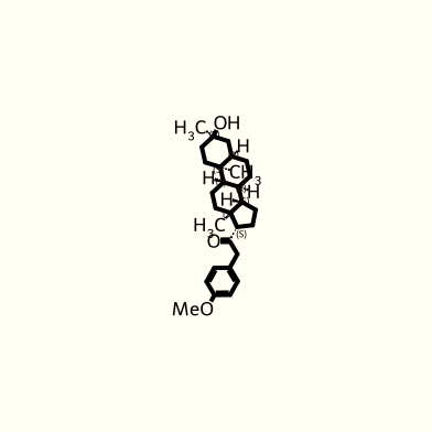 COc1ccc(CC(=O)[C@H]2CC[C@H]3[C@@H]4CC[C@@H]5C[C@](C)(O)CC[C@]5(C)[C@H]4CC[C@]23C)cc1